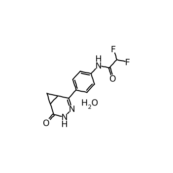 O.O=C(Nc1ccc(C2=NNC(=O)C3CC23)cc1)C(F)F